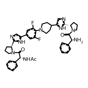 CC(=O)N[C@@H](C(=O)N1CCC[C@H]1c1ncc(-c2cc(F)c(N3CCC(c4cnc([C@@H]5CCCN5C(=O)[C@H](N)c5ccccc5)[nH]4)CC3)c(F)c2)[nH]1)c1ccccc1